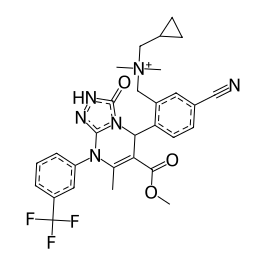 COC(=O)C1=C(C)N(c2cccc(C(F)(F)F)c2)c2n[nH]c(=O)n2C1c1ccc(C#N)cc1C[N+](C)(C)CC1CC1